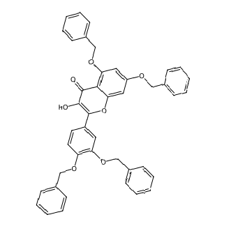 O=c1c(O)c(-c2ccc(OCc3ccccc3)c(OCc3ccccc3)c2)oc2cc(OCc3ccccc3)cc(OCc3ccccc3)c12